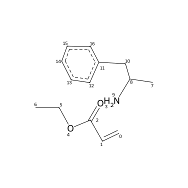 C=CC(=O)OCC.CC(N)Cc1ccccc1